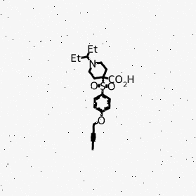 CC#CCOc1ccc(S(=O)(=O)C2(C(=O)O)CCN(C(CC)CC)CC2)cc1